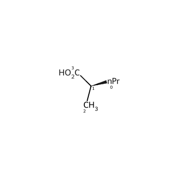 CC[13CH2][C@@H](C)C(=O)O